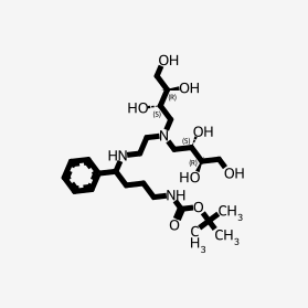 CC(C)(C)OC(=O)NCCCC(NCCN(C[C@H](O)[C@H](O)CO)C[C@H](O)[C@H](O)CO)c1ccccc1